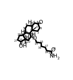 C[C@]12CCC(=O)C[C@@H]1CC[C@@H]1[C@@H]2[C@@H](OCCCCCC(N)=O)C[C@]2(C)[C@@H](O)CC[C@@H]12